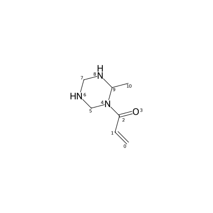 C=CC(=O)N1CNCNC1C